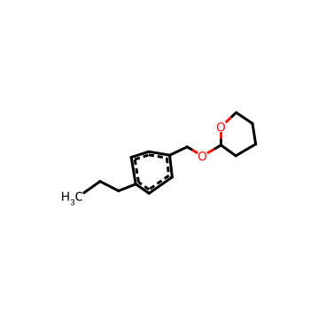 CCCc1ccc(COC2CCCCO2)cc1